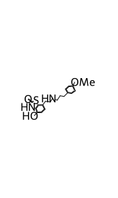 COc1ccc(CCCNCCc2ccc(O)c3[nH]c(=O)sc23)cc1